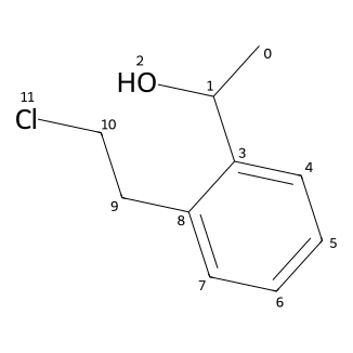 CC(O)c1ccccc1CCCl